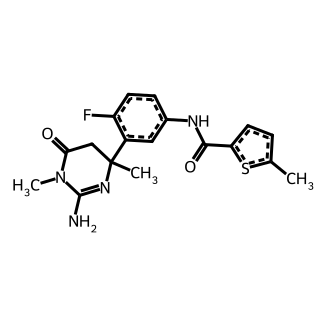 Cc1ccc(C(=O)Nc2ccc(F)c(C3(C)CC(=O)N(C)C(N)=N3)c2)s1